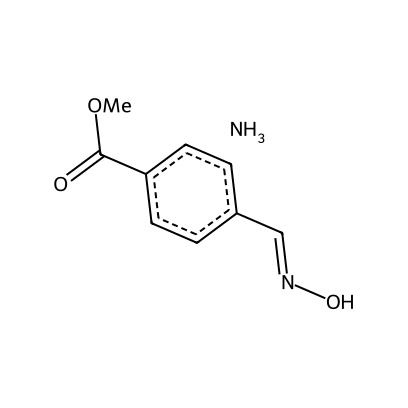 COC(=O)c1ccc(C=NO)cc1.N